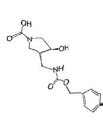 O=C(NCC1CN(C(=O)O)C[C@H]1O)OCc1ccccc1